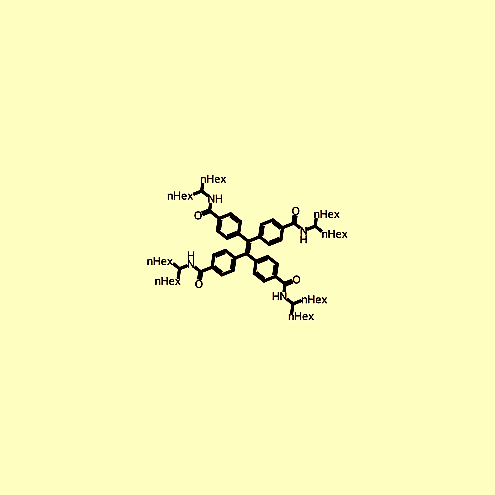 CCCCCCC(CCCCCC)NC(=O)c1ccc(C(=C(c2ccc(C(=O)NC(CCCCCC)CCCCCC)cc2)c2ccc(C(=O)NC(CCCCCC)CCCCCC)cc2)c2ccc(C(=O)NC(CCCCCC)CCCCCC)cc2)cc1